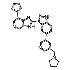 c1csc(-c2cncc3[nH]c(-c4n[nH]c5ccc(-c6cncc(CN7CCCC7)c6)cc45)nc23)c1